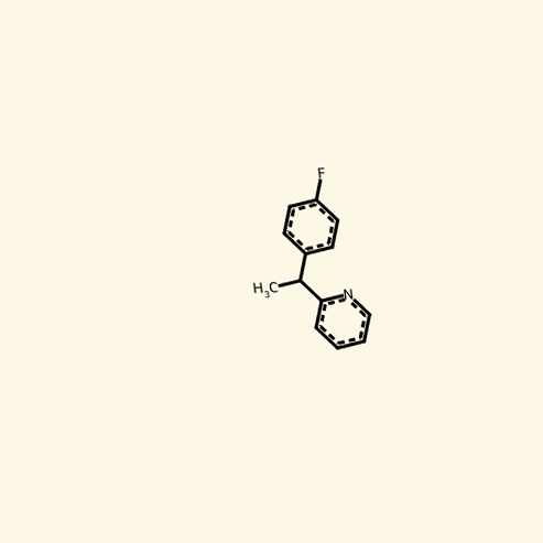 CC(c1ccc(F)cc1)c1ccccn1